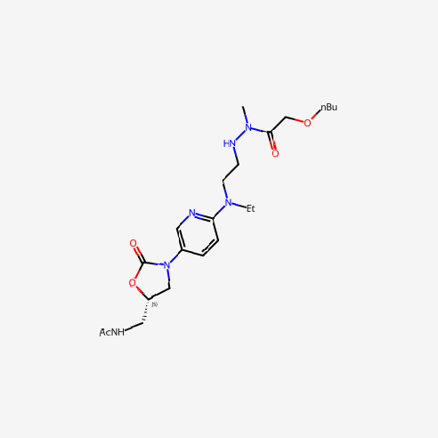 CCCCOCC(=O)N(C)NCCN(CC)c1ccc(N2C[C@H](CNC(C)=O)OC2=O)cn1